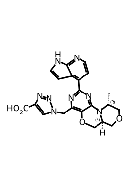 C[C@@H]1COC[C@H]2COc3c(Cn4cc(C(=O)O)nn4)nc(-c4ccnc5[nH]ccc45)nc3N21